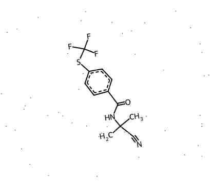 [CH2]C(C)(C#N)NC(=O)c1ccc(SC(F)(F)F)cc1